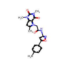 Bc1ccc(-c2cc(NC(=O)Cn3c(C)cc4c3c(=O)n(C)c(=O)n4C)no2)cc1